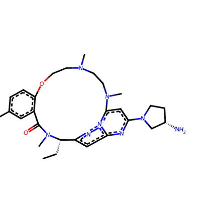 CC[C@H]1c2cc3nc(N4CC[C@H](N)C4)cc(n3n2)N(C)CCN(C)CCOc2ccc(C)cc2C(=O)N1C